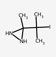 CC(C)(I)C1(C)NN1